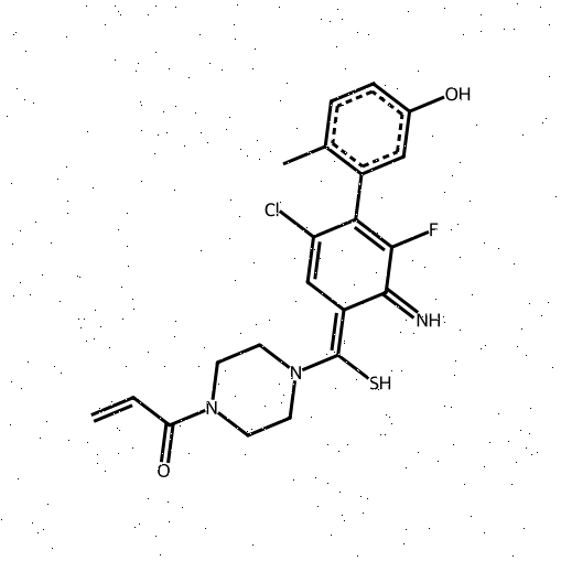 C=CC(=O)N1CCN(/C(S)=C2\C=C(Cl)C(c3cc(O)ccc3C)=C(F)C2=N)CC1